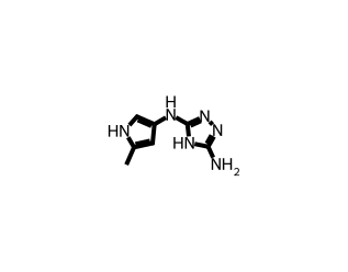 Cc1cc(Nc2nnc(N)[nH]2)c[nH]1